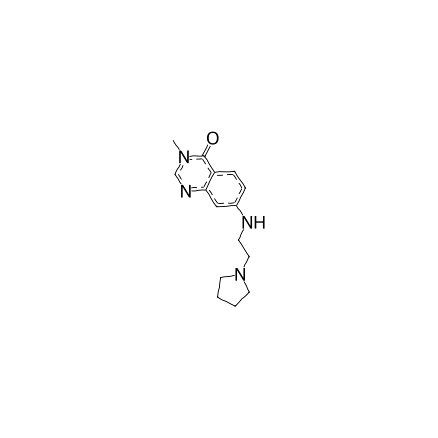 Cn1cnc2cc(NCCN3CCCC3)ccc2c1=O